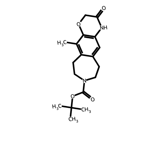 Cc1c2c(cc3c1OCC(=O)N3)CCN(C(=O)OC(C)(C)C)CC2